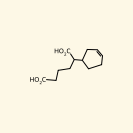 O=C(O)CCCC(C(=O)O)C1CC=CCC1